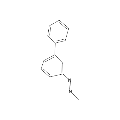 C/N=N/c1cccc(-c2ccccc2)c1